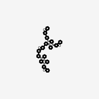 c1cc(-c2ccc3oc4cc(-c5ccc6c(c5)B5c7ccccc7N(c7ccc8oc9ccccc9c8c7)c7cccc(c75)N6c5ccc(-c6ccc7oc8ccccc8c7c6)cc5)ccc4c3c2)cc(N2c3ccccc3B3c4ccccc4N(c4ccc5oc6ccccc6c5c4)c4cccc2c43)c1